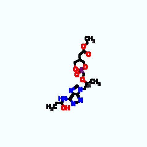 CCOC(=O)CC1COP(=O)(CO[C@H](C)Cn2cnc3c(NC(O)CC)ncnc32)OC1